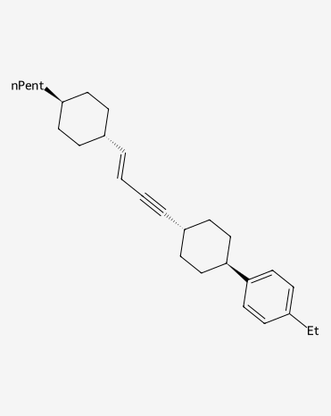 CCCCC[C@H]1CC[C@H](C=CC#C[C@H]2CC[C@H](c3ccc(CC)cc3)CC2)CC1